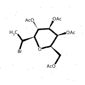 CC(=O)OC[C@H]1O[C@@H](C(C)Br)[C@H](OC(C)=O)[C@@H](OC(C)=O)[C@H]1OC(C)=O